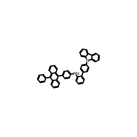 c1ccc(-c2c3ccccc3c(-c3ccc(Nc4ccccc4-c4ccc(-n5c6ccccc6c6ccccc65)cc4)cc3)c3ccccc23)cc1